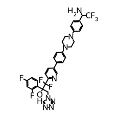 NC(c1ccc(N2CCN(c3ccc(-c4ccc(C(F)(F)C(O)(Cn5cnnn5)c5ccc(F)cc5F)nc4)cc3)CC2)cc1)C(F)(F)F